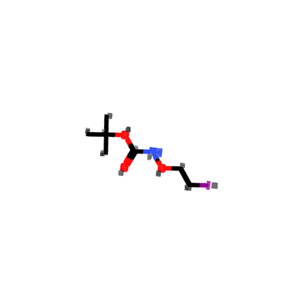 CC(C)(C)OC(=O)NOCCI